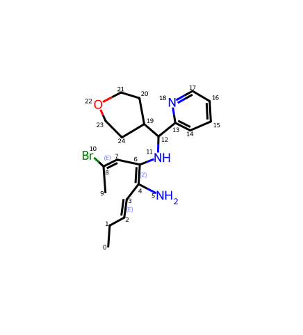 CC/C=C/C(N)=C(\C=C(/C)Br)NC(c1ccccn1)C1CCOCC1